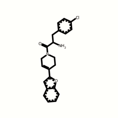 NC(Cc1ccc(Cl)cc1)C(=O)N1CC=C(c2cc3ccccc3o2)CC1